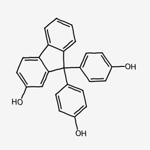 Oc1ccc(C2(c3ccc(O)cc3)c3ccccc3-c3ccc(O)cc32)cc1